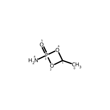 CC1OP(N)(=O)O1